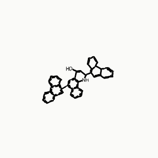 OC1=CC(C2=C3C=CC=CC3C3C=CC=CC3=C2)Nc2c1cc(-c1cc3ccccc3c3ccccc13)c1ccccc21